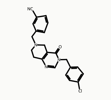 N#Cc1cccc(CN2CCc3ncn(Cc4ccc(Cl)cc4)c(=O)c3C2)c1